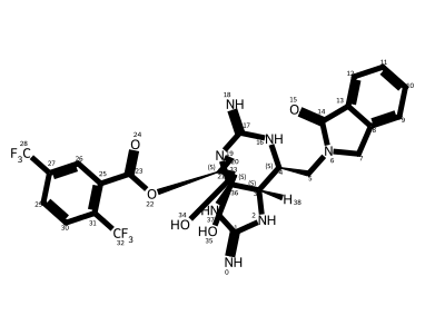 N=C1N[C@H]2[C@H](CN3Cc4ccccc4C3=O)NC(=N)N3C[C@H](OC(=O)c4cc(C(F)(F)F)ccc4C(F)(F)F)C(O)(O)[C@]23N1